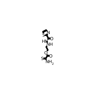 NC(=S)C(=O)OCCNNC(=O)c1nccs1